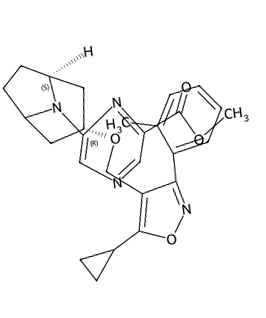 COC(=O)c1cncc(N2C3CC[C@H]2C[C@H](OCc2c(-c4ccccc4C)noc2C2CC2)C3)n1